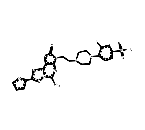 CS(=O)(=O)c1ccc(N2CCN(CCn3c(=O)sc4c3nc(N)n3nc(-c5ccco5)nc43)CC2)c(F)c1